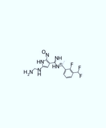 C[C@@H](NC(=N)c1cc(NCN)[nH]c1N=O)c1cccc(C(F)F)c1F